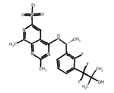 CCS(=O)(=O)c1cc2c(N[C@H](C)c3cccc(C(F)(F)C(C)(C)O)c3F)nc(C)nc2c(C)n1